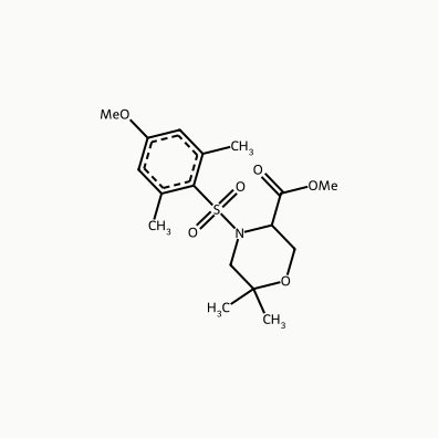 COC(=O)C1COC(C)(C)CN1S(=O)(=O)c1c(C)cc(OC)cc1C